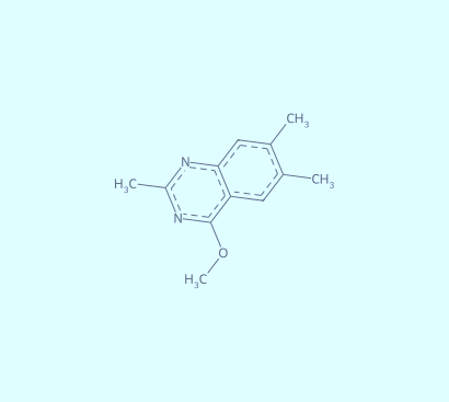 COc1nc(C)nc2cc(C)c(C)cc12